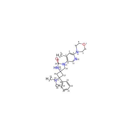 Cc1cc(N2CCOCC2)ncc1N1CC2(CC(c3ccccc3)(N(C)C)C2)NC1=O